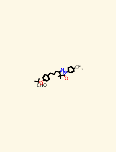 CC(C)(C=O)Oc1ccc(CCCC2=NN(c3ccc(C(F)(F)F)cc3)C(=O)C2(C)C)cc1